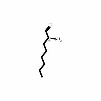 CCCCCC[C@H](N)C=O